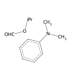 CC(C)OC=O.CN(C)c1ccccc1